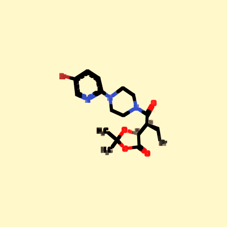 CC(C)C[C@H](C(=O)N1CCN(c2ccc(Br)cn2)CC1)[C@H]1OC(C)(C)OC1=O